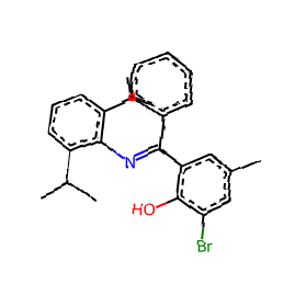 Cc1cc(Br)c(O)c(/C(=N/c2c(C(C)C)cccc2C(C)C)c2ccccc2)c1